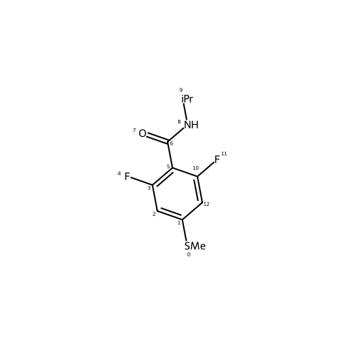 CSc1cc(F)c(C(=O)NC(C)C)c(F)c1